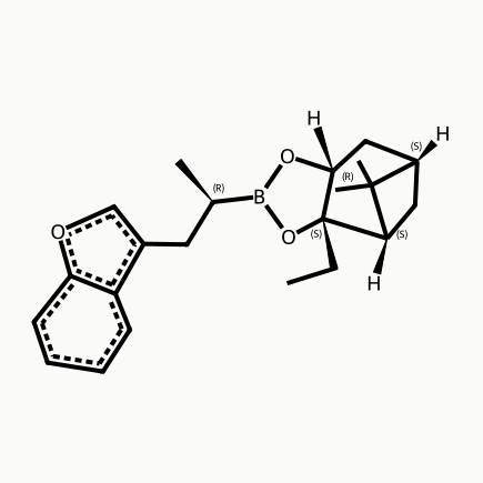 CC[C@@]12OB([C@H](C)Cc3coc4ccccc34)O[C@@H]1C[C@@H]1C[C@H]2C1(C)C